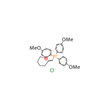 COc1ccc([P+](/C=C2/CCCCO2)(c2ccc(OC)cc2)c2ccc(OC)cc2)cc1.[Cl-]